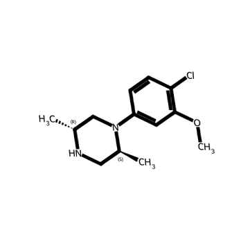 COc1cc(N2C[C@@H](C)NC[C@@H]2C)ccc1Cl